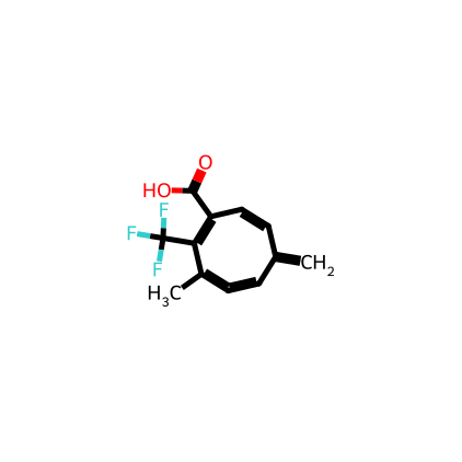 C=C1C=C=C(C)/C(C(F)(F)F)=C(C(=O)O)\C=C/1